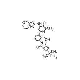 Cn1nc(-c2cccc(N3Cc4cc(C(C)(C)C)sc4C3=O)c2CO)cc(Nc2cc3n(n2)CCCOC3)c1=O